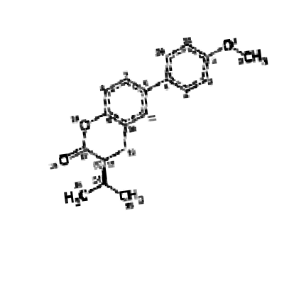 COc1ccc(-c2ccc3c(c2)C[C@@H](C(C)C)C(=O)O3)cc1